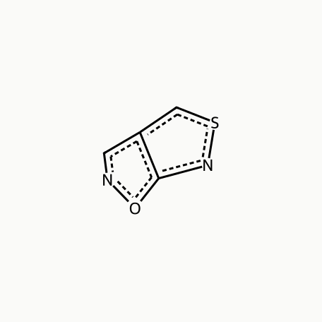 c1noc2nscc12